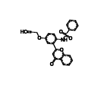 C#CCOc1ccc(NS(=O)(=O)c2ccccc2)c(-c2cc(=O)c3ccccc3o2)c1